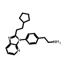 NCCc1ccc(-n2c(CCC3CCCC3)nc3cccnc32)cc1